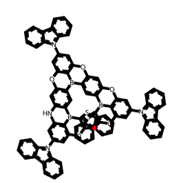 c1ccc2c3c(sc2c1)B1c2cc4c(cc2Nc2cc(-n5c6ccccc6c6ccccc65)cc(c21)O3)Oc1cc(-n2c3ccccc3c3ccccc32)cc2c1B4c1cc3c(cc1O2)Oc1cc(-n2c4ccccc4c4ccccc42)cc2c1B3c1sc3ccccc3c1O2